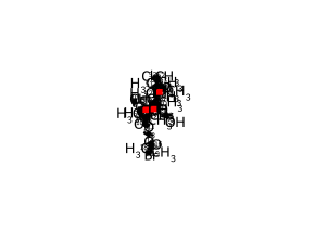 CCOC(C)(C)CC(C)(C(=O)OCCOC(=O)C(C)(C)Br)C(C)(C)C(C)(CC)CC(C)(C(=O)OCCO)C(C)(C)C(C)(C)CC(C)(C(=O)OC)C(C)(C)Cl